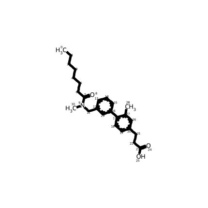 CCCCCCCC(=O)N(C)Cc1cccc(-c2ccc(CCC(=O)O)cc2C)c1